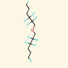 FCCCC(F)(F)C(F)(F)COCC(F)(F)C(F)(F)CCCF